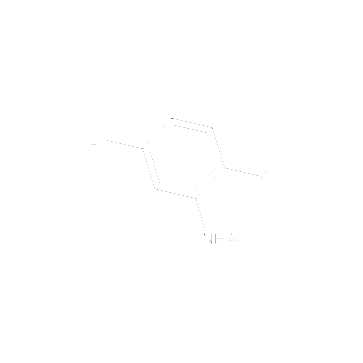 CCc1ccc(Cl)c(NC(C)=O)c1